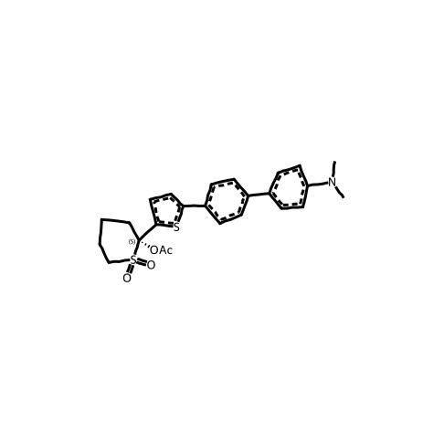 CC(=O)O[C@@]1(c2ccc(-c3ccc(-c4ccc(N(C)C)cc4)cc3)s2)CCCCS1(=O)=O